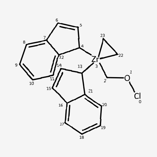 ClO[CH2][Zr]1([CH]2C=Cc3ccccc32)([CH]2C=Cc3ccccc32)[CH2][CH2]1